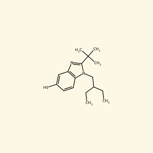 CCC(CC)Cn1c(C(C)(C)C)nc2cc(S)ccc21